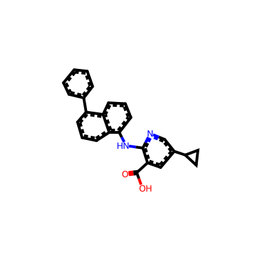 O=C(O)c1cc(C2CC2)cnc1Nc1cccc2c(-c3ccccc3)cccc12